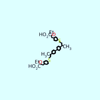 CCOC(Cc1ccc(SCC=C(C)c2ccc(-c3ccc(C(C)=CCSc4ccc(CC(OCC)C(=O)O)cc4)cc3)cc2)cc1)C(=O)O